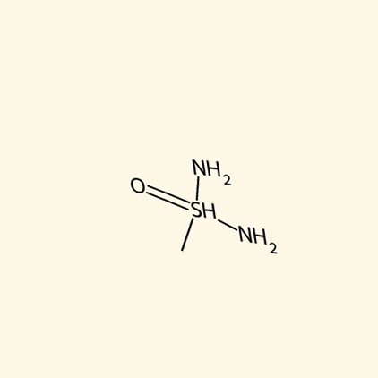 C[SH](N)(N)=O